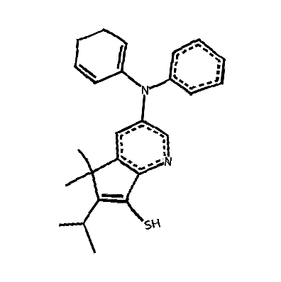 CC(C)C1=C(S)c2ncc(N(C3=CCCC=C3)c3ccccc3)cc2C1(C)C